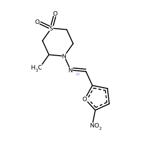 CC1CS(=O)(=O)CCN1/N=C/c1ccc([N+](=O)[O-])o1